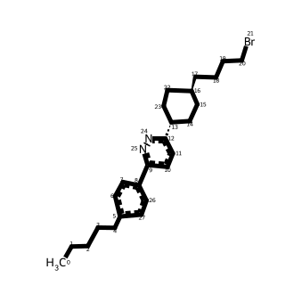 CCCCCc1ccc(-c2ccc([C@H]3CC[C@H](CCCCBr)CC3)nn2)cc1